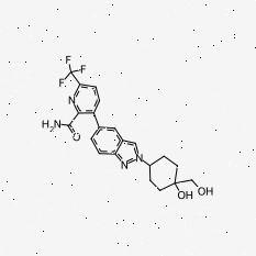 NC(=O)c1nc(C(F)(F)F)ccc1-c1ccc2nn(C3CCC(O)(CO)CC3)cc2c1